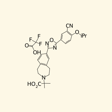 CC(C)Oc1ccc(-c2nc(-c3ccc4c(c3)CCN(C(C)(C)C(=O)O)CC4)no2)cc1C#N.O=C(O)C(F)(F)F